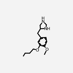 CCCCOc1cc(CC2CNCN2)ccc1OC